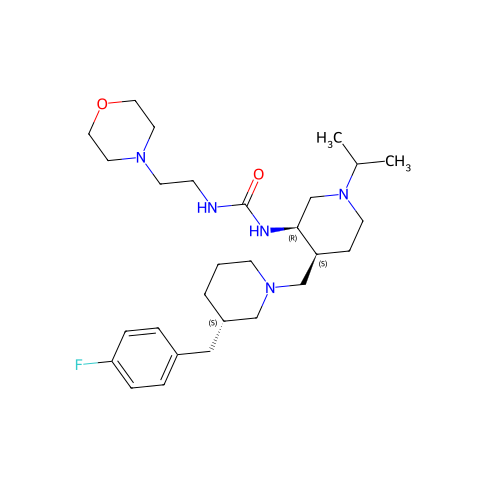 CC(C)N1CC[C@@H](CN2CCC[C@@H](Cc3ccc(F)cc3)C2)[C@@H](NC(=O)NCCN2CCOCC2)C1